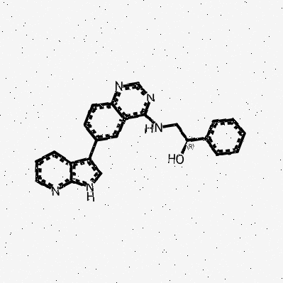 O[C@@H](CNc1ncnc2ccc(-c3c[nH]c4ncccc34)cc12)c1ccccc1